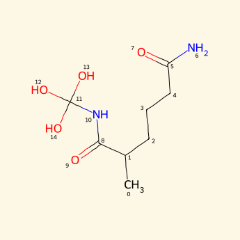 CC(CCCC(N)=O)C(=O)NC(O)(O)O